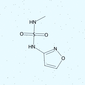 CNS(=O)(=O)Nc1ccon1